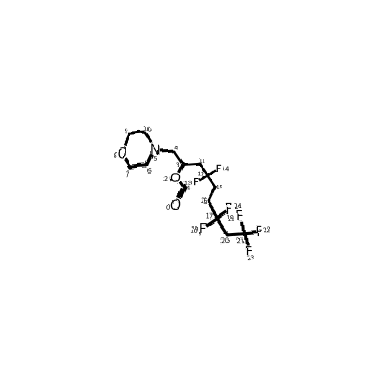 O=COC(CN1CCOCC1)CC(F)(F)CCC(F)(F)CC(F)(F)F